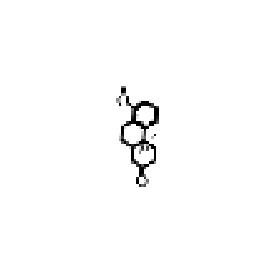 COc1cccc2c1CCC1CC(=O)CC[C@]21C